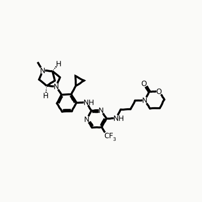 CN1C[C@H]2C[C@@H]1CN2c1cccc(Nc2ncc(C(F)(F)F)c(NCCCN3CCCOC3=O)n2)c1C1CC1